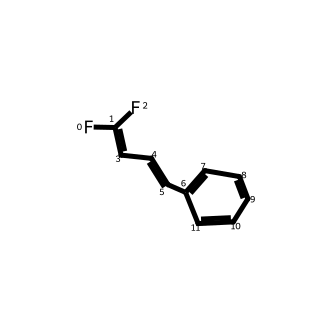 FC(F)=C/C=C/c1ccccc1